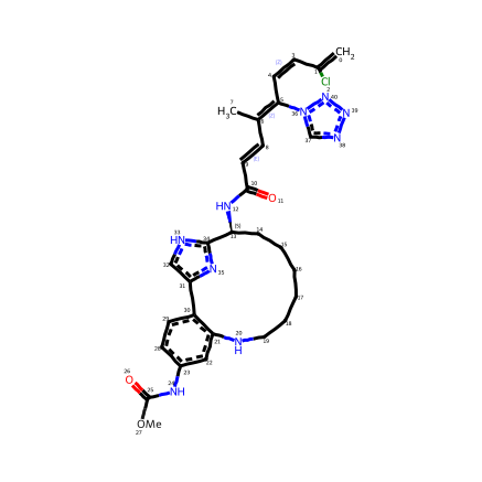 C=C(Cl)\C=C/C(=C(C)/C=C/C(=O)N[C@H]1CCCCCCNc2cc(NC(=O)OC)ccc2-c2c[nH]c1n2)n1cnnn1